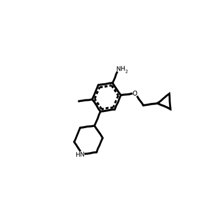 Cc1cc(N)c(OCC2CC2)cc1C1CCNCC1